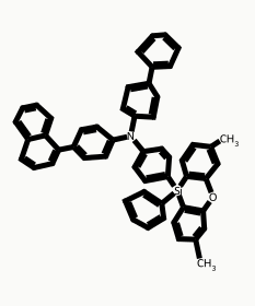 Cc1ccc2c(c1)Oc1cc(C)ccc1[Si]2(c1ccccc1)c1ccc(N(c2ccc(-c3ccccc3)cc2)c2ccc(-c3cccc4ccccc34)cc2)cc1